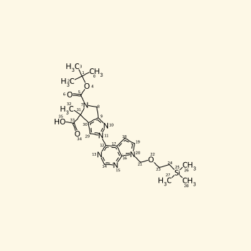 CC(C)(C)OC(=O)N1Cc2nn(-c3ncnc4c3ccn4COCC[Si](C)(C)C)cc2C1(C)C(=O)O